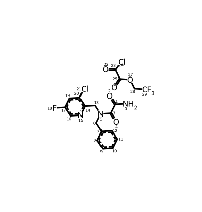 NC(=O)C(=O)N(Cc1ccccc1)Cc1ncc(F)cc1Cl.O=C(Cl)C(=O)OCC(F)(F)F